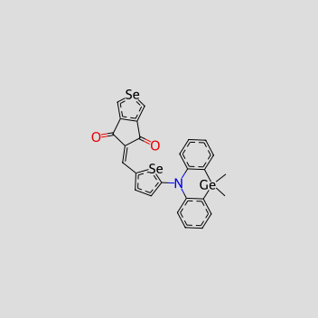 [CH3][Ge]1([CH3])[c]2ccccc2N(c2ccc(C=C3C(=O)c4c[se]cc4C3=O)[se]2)c2cccc[c]21